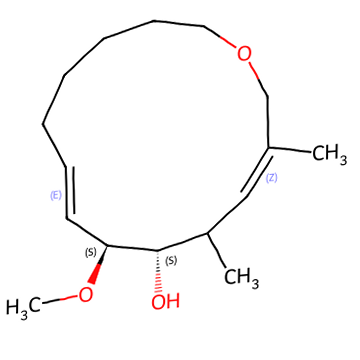 CO[C@H]1/C=C/CCCCCOC/C(C)=C\C(C)[C@@H]1O